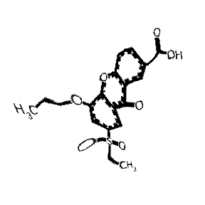 CCCOc1cc(S(=O)(=O)CC)cc2c(=O)c3cc(C(=O)O)ccc3oc12